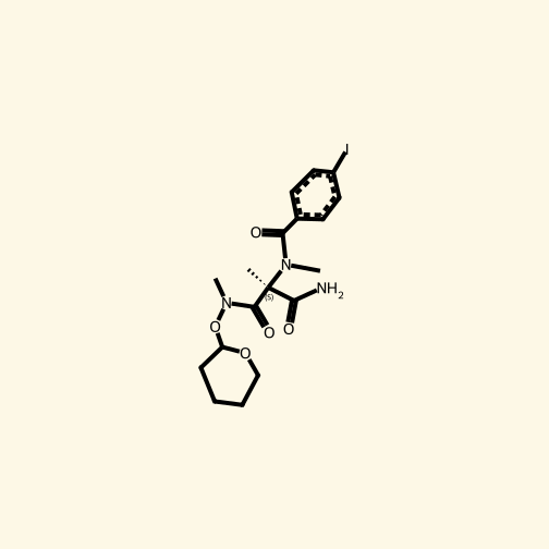 CN(OC1CCCCO1)C(=O)[C@](C)(C(N)=O)N(C)C(=O)c1ccc(I)cc1